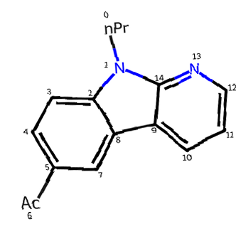 CCCn1c2ccc(C(C)=O)cc2c2cccnc21